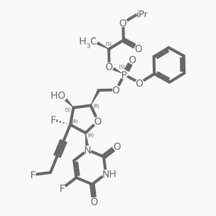 CC(C)OC(=O)[C@H](C)O[P@](=O)(OC[C@H]1O[C@@H](n2cc(F)c(=O)[nH]c2=O)[C@@](F)(C#CCF)[C@H]1O)Oc1ccccc1